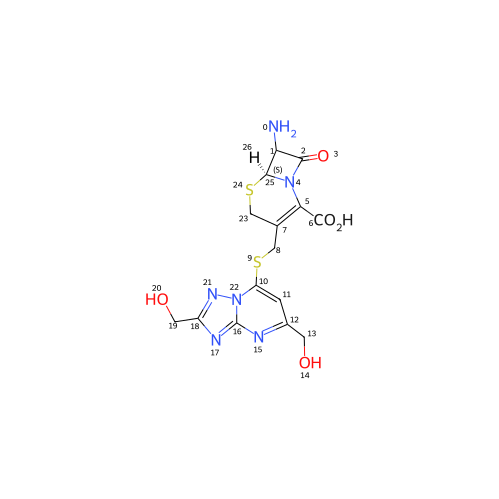 NC1C(=O)N2C(C(=O)O)=C(CSc3cc(CO)nc4nc(CO)nn34)CS[C@@H]12